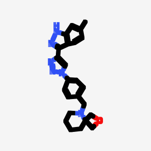 Cc1ccc2c(-c3cn(-c4ccc(CN5CCCCC56COC6)cc4)nn3)n[nH]c2c1